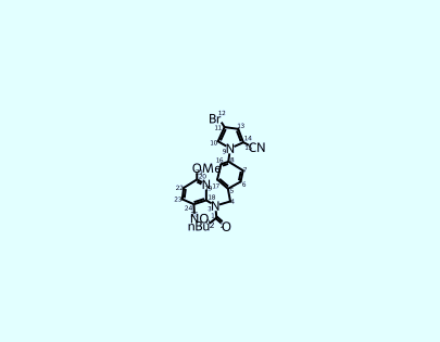 CCCCC(=O)N(Cc1ccc(-n2cc(Br)cc2C#N)cc1)c1nc(OC)ccc1[N+](=O)[O-]